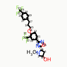 CN1C[C@H](O)C[C@H]1c1nc(-c2ccc(OCCCc3ccc(C(F)(F)F)cc3)c(C(F)(F)F)c2)no1